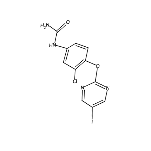 NC(=O)Nc1ccc(Oc2ncc(I)cn2)c(Cl)c1